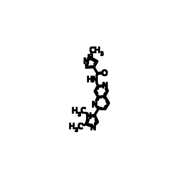 Cc1ncc(-c2ccc3cnc(NC(=O)c4cnn(C)c4)cc3n2)n1C